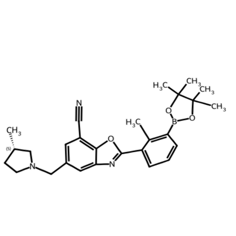 Cc1c(B2OC(C)(C)C(C)(C)O2)cccc1-c1nc2cc(CN3CC[C@H](C)C3)cc(C#N)c2o1